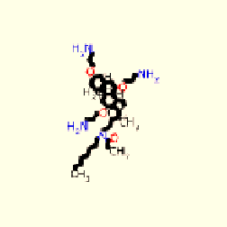 C=CC(=O)N(CCCCCCCC)CCC[C@@H](C)[C@H]1CC[C@H]2[C@@H]3[C@H](OCCCN)C[C@@H]4C[C@H](OCCCN)CC[C@]4(C)[C@H]3C[C@H](OCCCN)[C@]12C